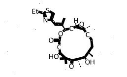 CCc1nc(/C=C(\C)[C@H]2C[C@H]3O[C@@]3(C)CCC[C@@H](C)[C@@H](O)[C@H](C)C(=O)C(C)(C)C(O)CC(=O)O2)cs1